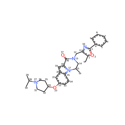 Cc1oc(-c2ccccc2)nc1CN1CC(C)n2c(cc3cc(OC4CCN(C(C)C)CC4)ccc32)C1=O